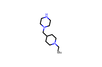 CC(C)(C)CN1CCC(CN2CCNCC2)CC1